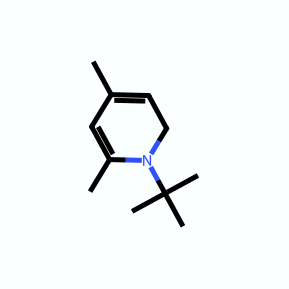 CC1=CCN(C(C)(C)C)C(C)=C1